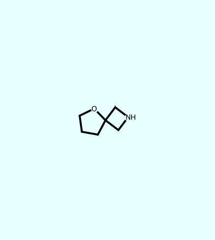 [CH]1NCC12CCCO2